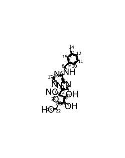 N#C[C@@]1(c2cnc3c(NCc4cccc(I)c4)ncnn23)O[C@H](CO)[C@@H](O)[C@H]1O